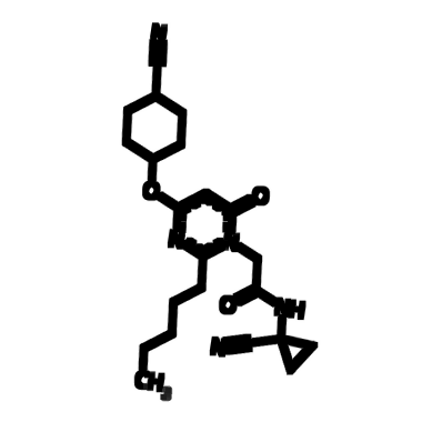 CCCCCc1nc(OC2CCC(C#N)CC2)cc(=O)n1CC(=O)NC1(C#N)CC1